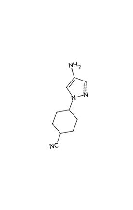 N#CC1CCC(n2cc(N)cn2)CC1